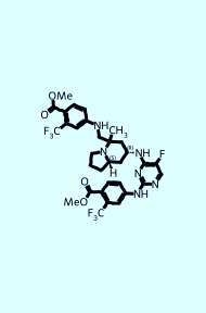 COC(=O)c1ccc(NCC2(C)C[C@H](Nc3nc(Nc4ccc(C(=O)OC)c(C(F)(F)F)c4)ncc3F)C[C@@H]3CCCN32)cc1C(F)(F)F